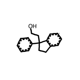 OCCC1(c2ccccc2)CCc2cc[c]cc21